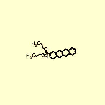 CCCO[SiH](OCCC)c1ccc2cc3cc4ccccc4cc3cc2c1